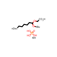 CCCCCCCCCCCCCCCC(OCC(=O)O)OC(C)(C)C.O=P(O)(O)O.[KH]